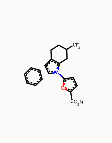 O=C(O)c1ccc(-n2ccc3c2CC(C(F)(F)F)CC3)o1.c1ccccc1